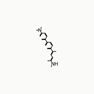 C=C(/C=C\C(=C)/C(C)=C/C=C(\C)NC)C(=C)/C=C\C(=C)N(C)C